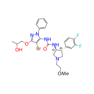 COCCN1C[C@@H](NC(=O)Nc2c(Br)c(OCC(C)O)nn2-c2ccccc2)[C@H](c2ccc(F)c(F)c2)C1